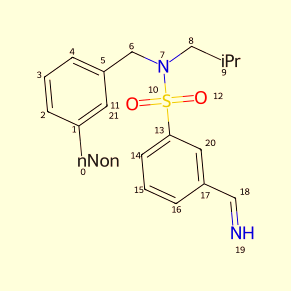 CCCCCCCCCc1cccc(CN(CC(C)C)S(=O)(=O)c2cccc(C=N)c2)c1